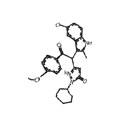 COc1ccc(C(=O)C(c2cc(=O)n(C3CCCCC3)[nH]2)c2c(C)[nH]c3ccc(Cl)cc23)cc1